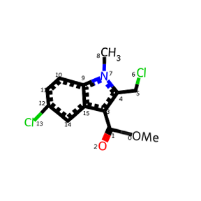 COC(=O)c1c(CCl)n(C)c2ccc(Cl)cc12